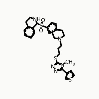 Cn1c(SCCCN2CCc3ccc(S(=O)(=O)C4NCCc5ccccc54)cc3C2)nnc1-c1ccsc1